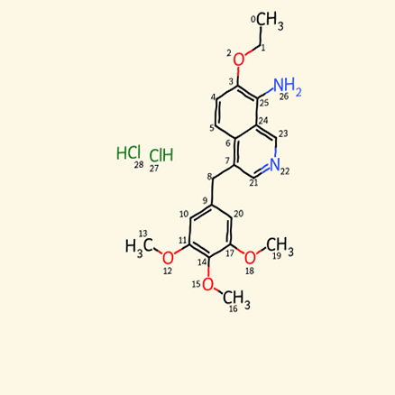 CCOc1ccc2c(Cc3cc(OC)c(OC)c(OC)c3)cncc2c1N.Cl.Cl